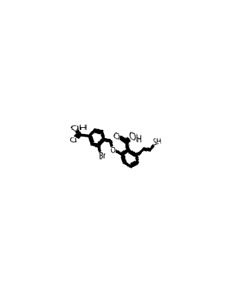 O=C(O)c1ccc(COc2cccc(CCS)c2C(=O)O)c(Br)c1